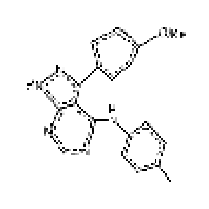 COc1ccc(-c2n[nH]c3ncnc(Nc4ccc(C)cc4)c23)cc1